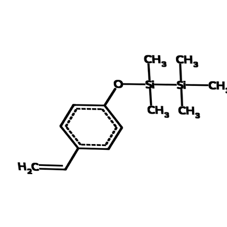 C=Cc1ccc(O[Si](C)(C)[Si](C)(C)C)cc1